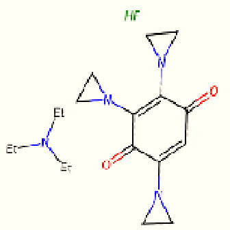 CCN(CC)CC.F.O=C1C=C(N2CC2)C(=O)C(N2CC2)=C1N1CC1